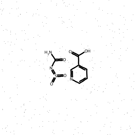 NC(=O)N=S(=O)=O.O=C(O)c1cccnc1